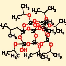 CC(C)C[Si]12O[Si](O)(OC(C)C)O[Si]3(OC(C)C)O[Si]4(OC(C)C)O[SiH](OC(C)C)O[Si](OC(C)C)(O1)O[Si](OC(C)C)(O4)O[Si](OC(C)C)(O2)O3